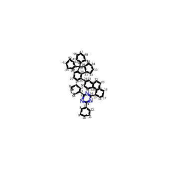 c1ccc(-c2nc(-c3ccccc3)nc(-c3cccc4ccc5cc(-c6cccc7c6-c6ccccc6C7(c6ccccc6)c6ccccc6)ccc5c34)n2)cc1